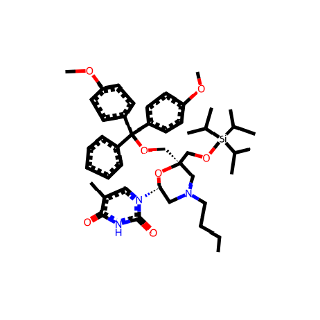 CCCCN1C[C@H](n2cc(C)c(=O)[nH]c2=O)O[C@@](COC(c2ccccc2)(c2ccc(OC)cc2)c2ccc(OC)cc2)(CO[Si](C(C)C)(C(C)C)C(C)C)C1